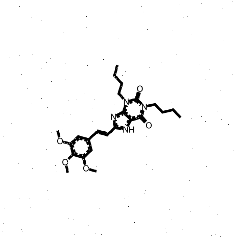 CCCCn1c(=O)c2[nH]c(/C=C/c3cc(OC)c(OC)c(OC)c3)nc2n(CCCC)c1=O